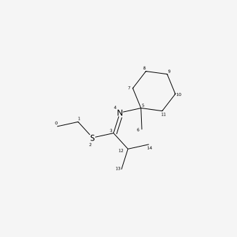 CCS/C(=N/C1(C)CCCCC1)C(C)C